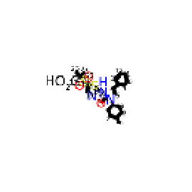 CC1CCC(N(CCc2ccccc2)C(=O)Nc2ncc(S(=O)(=O)C(C)(C)C(=O)O)s2)CC1